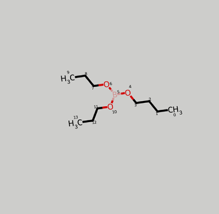 CCCCOB(OCCC)OCCC